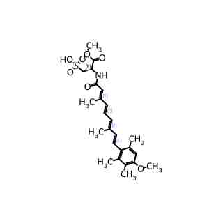 COC(=O)[C@H](CS(=O)(=O)O)NC(=O)/C=C(C)/C=C/C=C(C)/C=C/c1c(C)cc(OC)c(C)c1C